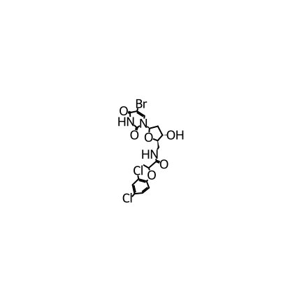 CC(Oc1ccc(Cl)cc1Cl)C(=O)NC[C@H]1O[C@@H](n2cc(Br)c(=O)[nH]c2=O)C[C@@H]1O